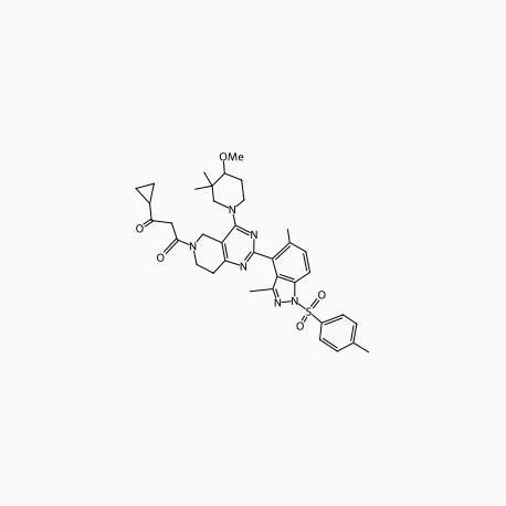 COC1CCN(c2nc(-c3c(C)ccc4c3c(C)nn4S(=O)(=O)c3ccc(C)cc3)nc3c2CN(C(=O)CC(=O)C2CC2)CC3)CC1(C)C